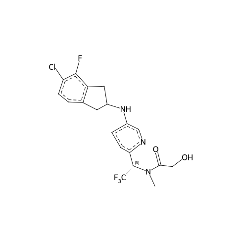 CN(C(=O)CO)[C@@H](c1ccc(NC2Cc3ccc(Cl)c(F)c3C2)cn1)C(F)(F)F